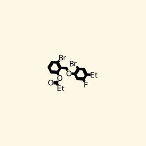 CCC(=O)Oc1cccc(Br)c1COc1cc(F)c(CC)cc1Br